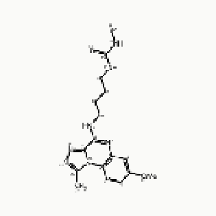 COc1ccc2c(c1)nc(NCCCCNC(=O)NC(C)C)c1nnc(C)n12